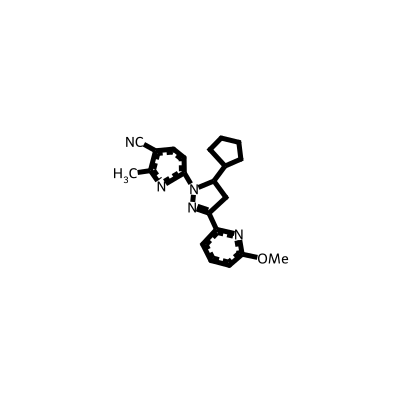 COc1cccc(C2=NN(c3ccc(C#N)c(C)n3)C(C3CCCC3)C2)n1